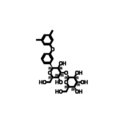 Cc1cc(C)cc(Oc2cccc([C@H]3O[C@H](CO)[C@@H](O)[C@H](O[C@H]4O[C@H](CO)[C@@H](O)[C@H](O)[C@@H]4O)[C@@H]3O)c2)c1